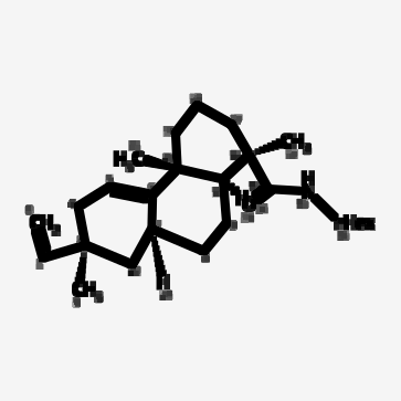 C=C[C@@]1(C)CC=C2[C@@H](CC[C@@H]3[C@](C)(C(=O)NCCCCCC)CCC[C@@]23C)C1